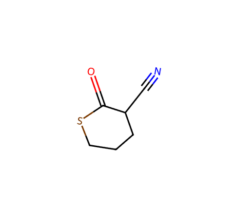 N#CC1CCCSC1=O